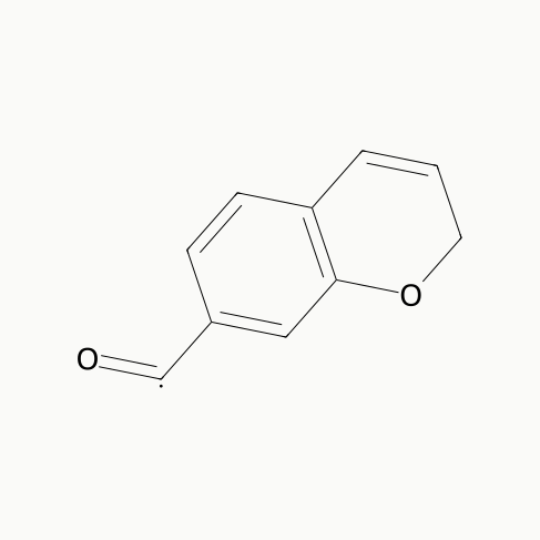 O=[C]c1ccc2c(c1)OCC=C2